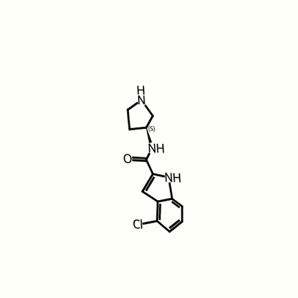 O=C(N[C@H]1CCNC1)c1cc2c(Cl)cccc2[nH]1